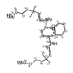 CC(C)(/C=N/Nc1nnc(N/N=C/C(C)(C)CCOC(C)(C)C)c2ccccc12)CCOC(C)(C)C